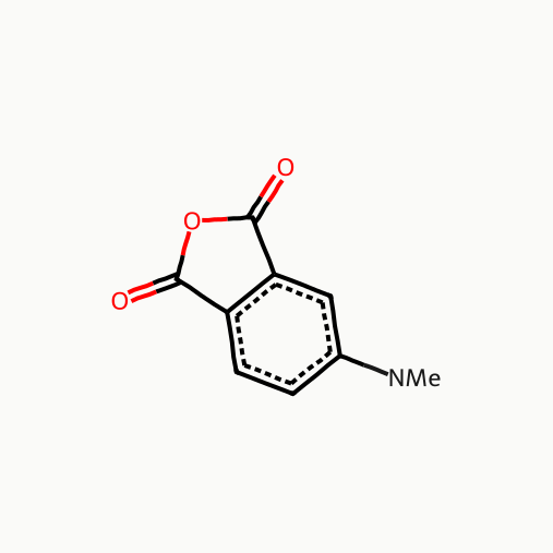 CNc1ccc2c(c1)C(=O)OC2=O